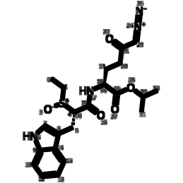 CC[S+]([O-])[C@@H](Cc1c[nH]c2ccccc12)C(=O)N[C@@H](CCC(=O)C=[N+]=[N-])C(=O)OC(C)C